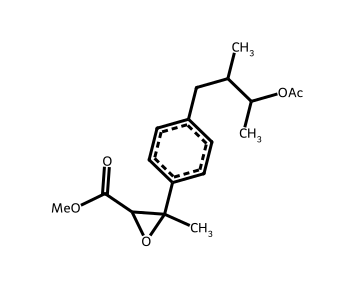 COC(=O)C1OC1(C)c1ccc(CC(C)C(C)OC(C)=O)cc1